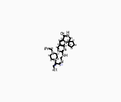 CC/C=C(\C=N/CNc1ncc2cc3n(c2n1)C1(CCCC1)CNC3=O)N1CCN(CC(C)C)CC1